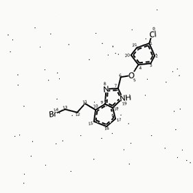 Clc1ccc(OCc2nc3c(CCCBr)cccc3[nH]2)cc1